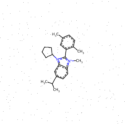 Cc1ccc(C)c(-c2n(C3CCCC3)c3cc(C(C)C)ccc3[n+]2C)c1